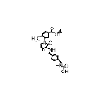 Cc1ccc(C(=O)NC2CC2)cc1-n1ccnc(NCc2ccc(CNC(=O)O)cc2)c1=O